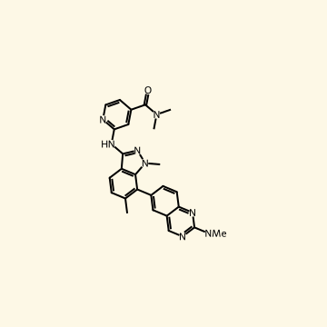 CNc1ncc2cc(-c3c(C)ccc4c(Nc5cc(C(=O)N(C)C)ccn5)nn(C)c34)ccc2n1